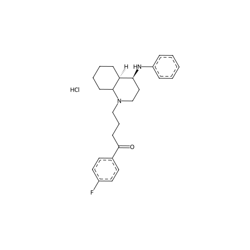 Cl.O=C(CCCN1CC[C@H](Nc2ccccc2)[C@@H]2CCCCC21)c1ccc(F)cc1